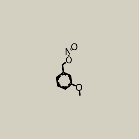 COc1cccc(CON=O)c1